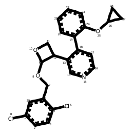 Clc1ccc(Cl)c(COC2OCC2c2cnccc2-c2ccccc2OC2CC2)c1